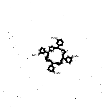 COc1cccc(-c2c3nc(c(-c4cccc(OC)c4)c4ccc([nH]4)c(-c4cccc(OC)c4)c4nc(c(-c5cccc(OC)c5)c5ccc2[nH]5)C=C4)C=C3)c1